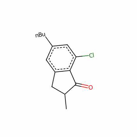 CCCCc1cc(Cl)c2c(c1)CC(C)C2=O